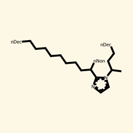 CCCCCCCCCCCCCCCCCCC(CCCCCCCCC)c1nccn1C(C)CCCCCCCCCCCC